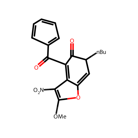 CCCCC1C=c2oc(OC)c([N+](=O)[O-])c2=C(C(=O)c2ccccc2)C1=O